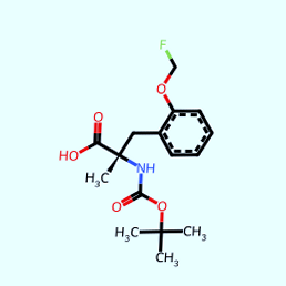 CC(C)(C)OC(=O)N[C@@](C)(Cc1ccccc1OCF)C(=O)O